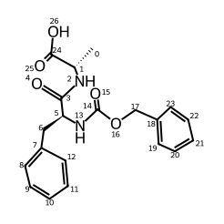 C[C@H](NC(=O)[C@H](Cc1ccccc1)NC(=O)OCc1ccccc1)C(=O)O